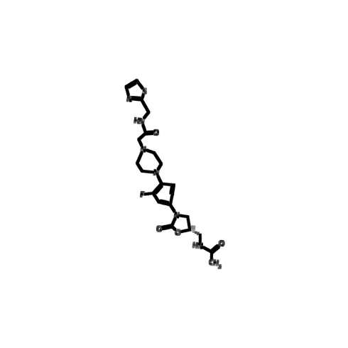 CC(=O)NC[C@H]1CN(c2ccc(N3CCN(CC(=O)NCc4nccs4)CC3)c(F)c2)C(=O)O1